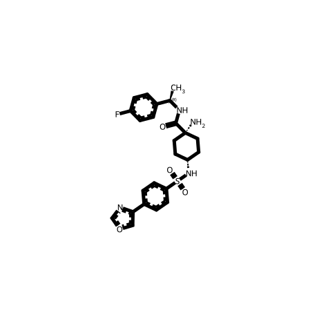 C[C@@H](NC(=O)[C@]1(N)CC[C@@H](NS(=O)(=O)c2ccc(-c3cocn3)cc2)CC1)c1ccc(F)cc1